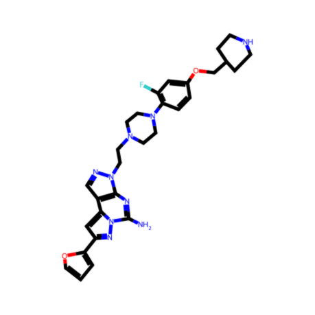 Nc1nc2c(cnn2CCN2CCN(c3ccc(OCC4CCNCC4)cc3F)CC2)c2cc(-c3ccco3)nn12